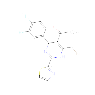 COC(=O)C1=C(CBr)NC(c2nccs2)=NC1c1ccc(F)c(F)c1